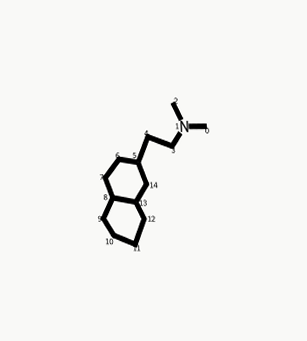 CN(C)CCC1CCC2CCCCC2C1